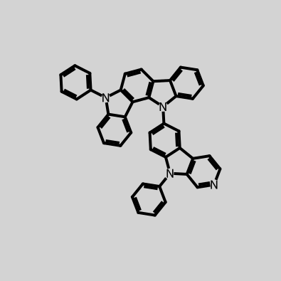 c1ccc(-n2c3ccc(-n4c5ccccc5c5ccc6c(c7ccccc7n6-c6ccccc6)c54)cc3c3ccncc32)cc1